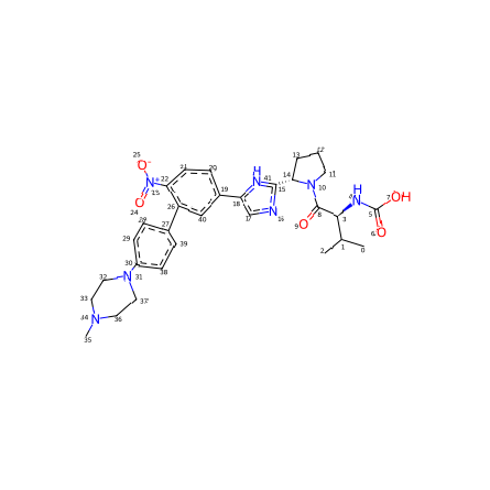 CC(C)[C@H](NC(=O)O)C(=O)N1CCC[C@H]1c1ncc(-c2ccc([N+](=O)[O-])c(-c3ccc(N4CCN(C)CC4)cc3)c2)[nH]1